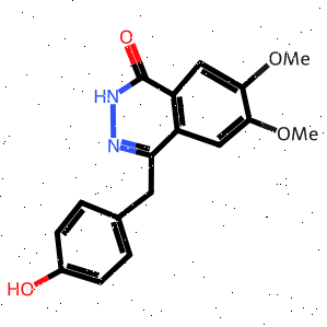 COc1cc2c(Cc3ccc(O)cc3)n[nH]c(=O)c2cc1OC